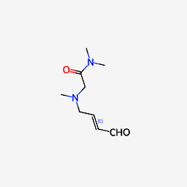 CN(C/C=C/C=O)CC(=O)N(C)C